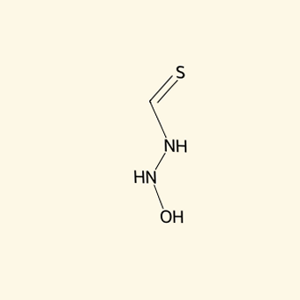 ONNC=S